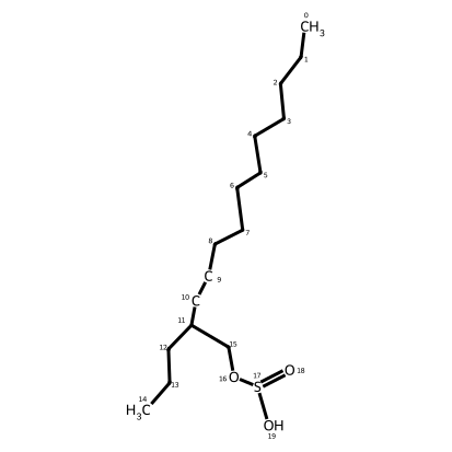 CCCCCCCCCCCC(CCC)COS(=O)O